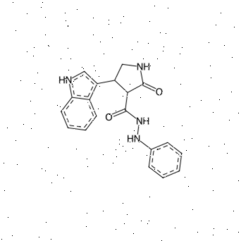 O=C1NCC(c2c[nH]c3ccccc23)C1C(=O)NNc1ccccc1